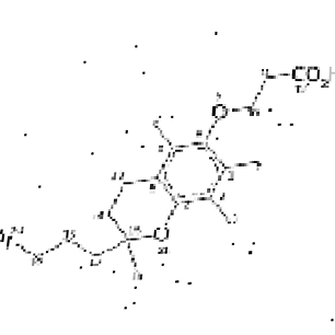 Cc1c(C)c2c(c(C)c1OCCC(=O)O)CCC(C)(CCCC(C)C)O2